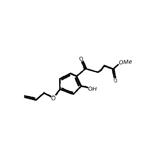 C=CCOc1ccc(C(=O)CCC(=O)OC)c(O)c1